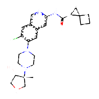 C[C@@]1(N2CCN(c3cc4cc(NC(=O)[C@H]5CC56CCC6)ncc4cc3Cl)CC2)COC[C@@H]1O